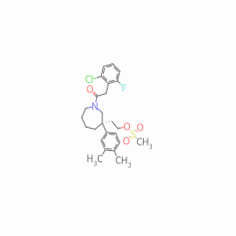 Cc1ccc([C@@]2(CCOS(C)(=O)=O)CCCCN(C(=O)Cc3c(F)cccc3Cl)C2)cc1C